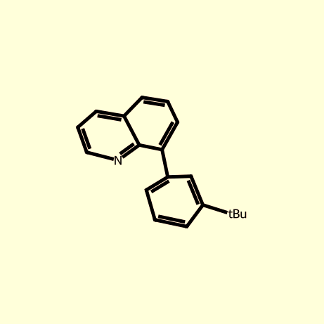 CC(C)(C)c1cccc(-c2cccc3cccnc23)c1